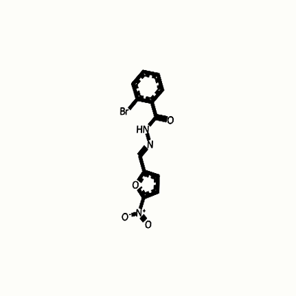 O=C(NN=Cc1ccc([N+](=O)[O-])o1)c1ccccc1Br